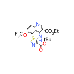 CCOC(=O)c1cnc2ccc(OC(F)(F)F)cc2c1Nc1scnc1C(=O)OC(C)(C)C